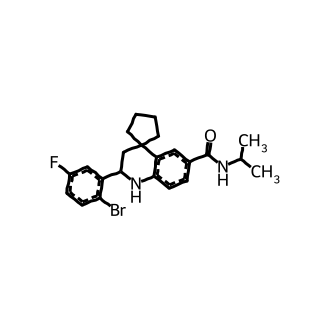 CC(C)NC(=O)c1ccc2c(c1)C1(CCCC1)CC(c1cc(F)ccc1Br)N2